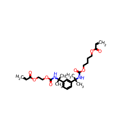 C=CC(=O)OCCCCOC(=O)NC(C)(C)c1cccc(C(C)(C)NC(=O)OCCOC(=O)C=C)c1